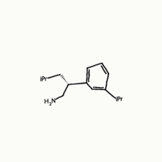 CC(C)C[C@@H](CN)c1cccc(C(C)C)c1